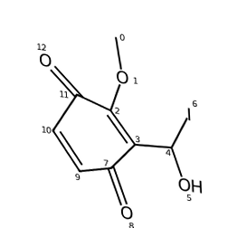 COC1=C(C(O)I)C(=O)C=CC1=O